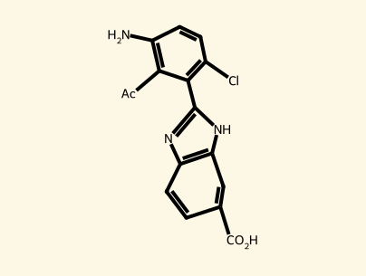 CC(=O)c1c(N)ccc(Cl)c1-c1nc2ccc(C(=O)O)cc2[nH]1